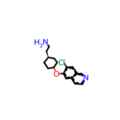 NCC[C@H]1CC[C@@H](Oc2cc3ccncc3cc2Cl)CC1